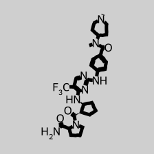 CN1CCC(N(C)C(=O)c2ccc(Nc3ncc(C(F)(F)F)c(N[C@@H]4CCC[C@@H]4C(=O)N4CCCC4C(N)=O)n3)cc2)CC1